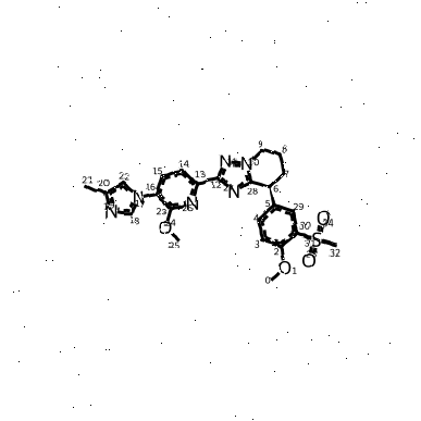 COc1ccc([C@@H]2CCCn3nc(-c4ccc(-n5cnc(C)c5)c(OC)n4)nc32)cc1S(C)(=O)=O